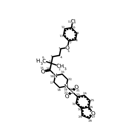 CC(C)(CCCOc1ccc(Cl)cc1)C(=O)N1CCN(S(=O)(=O)c2ccc3occc3c2)CC1